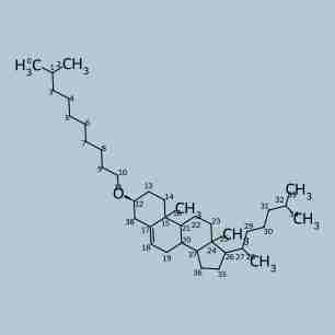 CC(C)CCCCCCCCO[C@H]1CCC2(C)C(=CCC3C2CCC2(C)C(C(C)CCCC(C)C)CCC32)C1